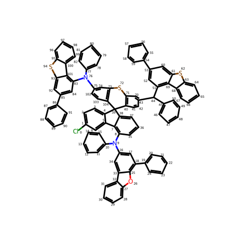 Clc1ccc2c(c1)-c1c(N(c3ccccc3)c3cc(-c4ccccc4)c4oc5ccccc5c4c3)cccc1C21c2ccc(C(c3ccccc3)c3cc(-c4ccccc4)cc4sc5ccccc5c34)cc2Sc2cc(N(c3ccccc3)c3cc(-c4ccccc4)cc4sc5ccccc5c34)ccc21